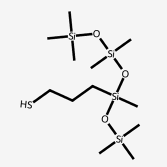 C[Si](C)(C)O[Si](C)(C)O[Si](C)(CCCS)O[Si](C)(C)C